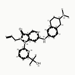 C=CCn1c(=O)c2cnc(Nc3ccc4c(c3)CCC(N(C)C)C4)cc2n1-c1cccc(C(C)(C)O)n1